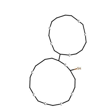 SC1CCCCCCCCCCCCCCCC(C2CCCCCCCCCCCCCCC2)C1